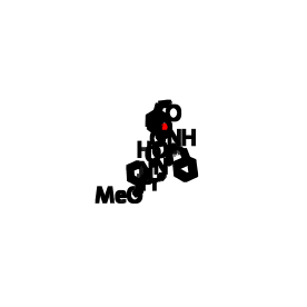 COCC1CCCN(C(=O)N(CC(C)C)C[C@@H](O)[C@H](Cc2ccccc2)NC(=O)OC2C3COC4OCC2C4C3)C1